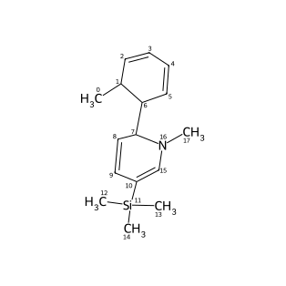 CC1C=CC=CC1C1C=CC([Si](C)(C)C)=CN1C